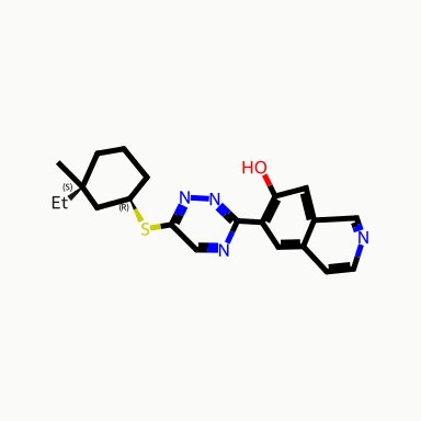 CC[C@@]1(C)CCC[C@@H](Sc2cnc(-c3cc4ccncc4cc3O)nn2)C1